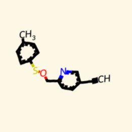 C#Cc1ccc(COSc2ccc(C)cc2)nc1